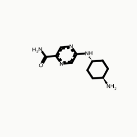 NC(=O)c1cnc(N[C@H]2CC[C@H](N)CC2)cn1